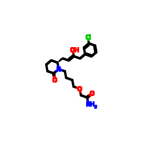 NC(=O)COCCCCN1C(=O)CCC[C@@H]1C/C=C(\O)Cc1cccc(Cl)c1